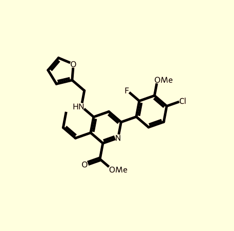 C/C=C\c1c(NCc2ccco2)cc(-c2ccc(Cl)c(OC)c2F)nc1C(=O)OC